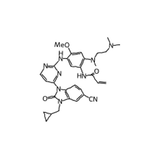 C=CC(=O)Nc1cc(Nc2nccc(-n3c(=O)n(CC4CC4)c4cc(C#N)ccc43)n2)c(OC)cc1N(C)CCN(C)C